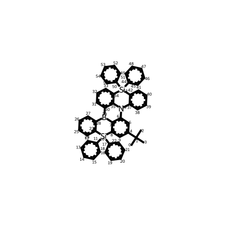 CC(C)(C)c1cc2c3c(c1)[Si](c1ccccc1)(c1ccccc1)c1ccccc1B3c1cccc3c1N2c1ccccc1[Si]3(c1ccccc1)c1ccccc1